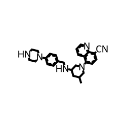 CC1CC(NCc2ccc(N3CCNCC3)cc2)CN(c2ccc(C#N)c3ncccc23)C1